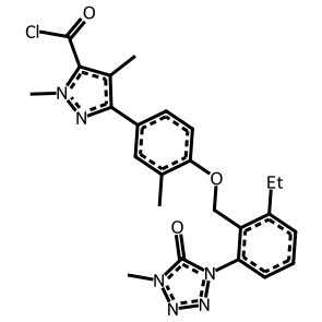 CCc1cccc(-n2nnn(C)c2=O)c1COc1ccc(-c2nn(C)c(C(=O)Cl)c2C)cc1C